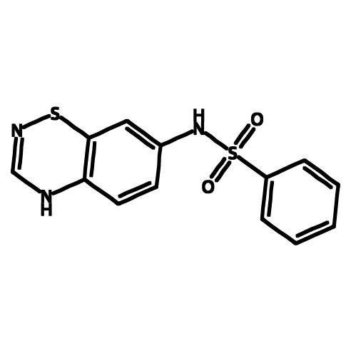 O=S(=O)(Nc1ccc2c(c1)SN=CN2)c1ccccc1